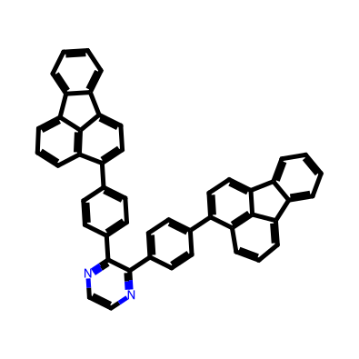 c1ccc2c(c1)-c1cccc3c(-c4ccc(-c5nccnc5-c5ccc(-c6ccc7c8c(cccc68)-c6ccccc6-7)cc5)cc4)ccc-2c13